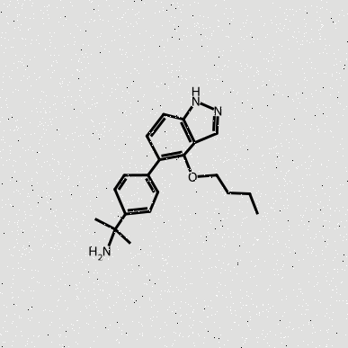 CCCCOc1c(-c2ccc(C(C)(C)N)cc2)ccc2[nH]ncc12